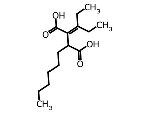 CCCCCCC(C(=O)O)C(C(=O)O)=C(CC)CC